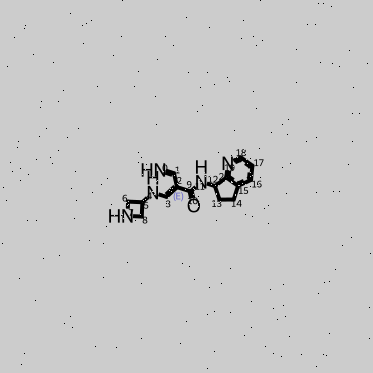 N=C/C(=C\NC1CNC1)C(=O)NC1CCc2cccnc21